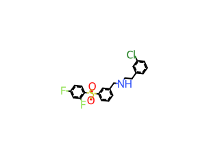 O=S(=O)(c1cccc(CNCCc2cccc(Cl)c2)c1)c1ccc(F)cc1F